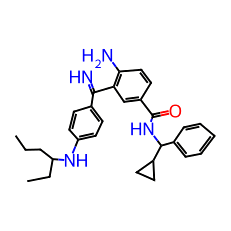 CCCC(CC)Nc1ccc(C(=N)c2cc(C(=O)NC(c3ccccc3)C3CC3)ccc2N)cc1